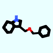 c1ccc(COCc2c[nH]c3ccccc23)cc1